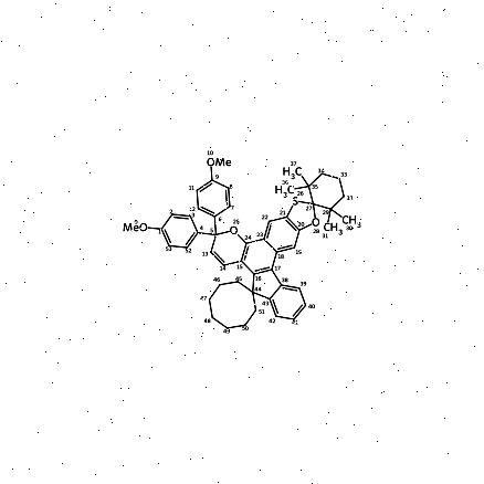 COc1ccc(C2(c3ccc(OC)cc3)C=Cc3c4c(c5cc6c(cc5c3O2)SC2(O6)C(C)(C)CCCC2(C)C)-c2ccccc2C42CCCCCCC2)cc1